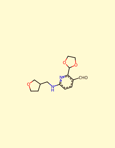 O=Cc1ccc(NCC2CCOC2)nc1C1OCCO1